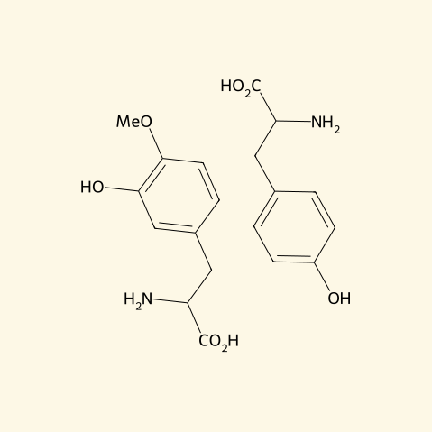 COc1ccc(CC(N)C(=O)O)cc1O.NC(Cc1ccc(O)cc1)C(=O)O